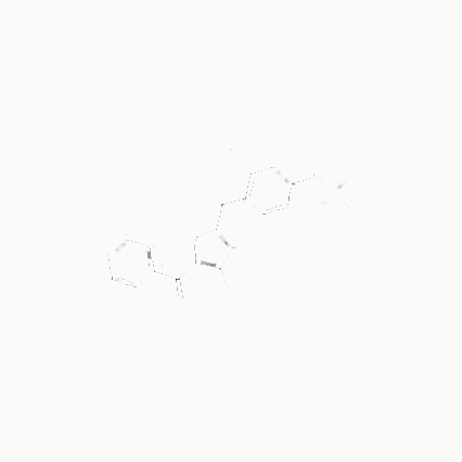 CCS(=O)(=O)Nc1ccc(C(C)c2cc(C)c(C(=O)c3ccccc3)[nH]2)c(F)c1